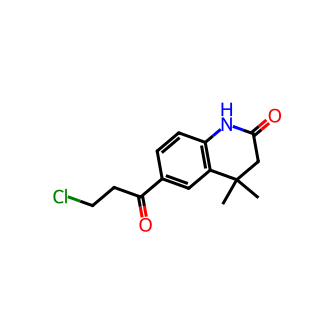 CC1(C)CC(=O)Nc2ccc(C(=O)CCCl)cc21